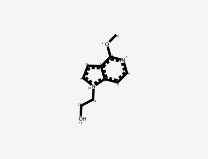 COc1nccc2c1ccn2CCO